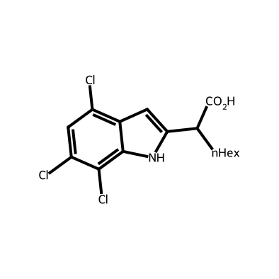 CCCCCCC(C(=O)O)c1cc2c(Cl)cc(Cl)c(Cl)c2[nH]1